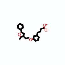 COC(=O)CCCc1cccc(OCCC2=C(C)OC(c3ccccc3)C2)c1